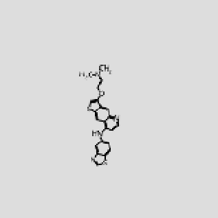 CN(C)CCOc1csc2cc3c(Nc4ccc5scnc5c4)ccnc3cc12